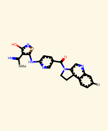 CCc1ccc2c3c(cnc2c1)N(C(=O)c1ccc(Nc2snc(O)c2C(=N)NC)nc1)CC3